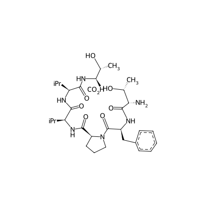 CC(C)[C@H](NC(=O)[C@@H](NC(=O)[C@@H]1CCCN1C(=O)[C@H](Cc1ccccc1)NC(=O)[C@@H](N)[C@@H](C)O)C(C)C)C(=O)N[C@H](C(=O)O)[C@@H](C)O